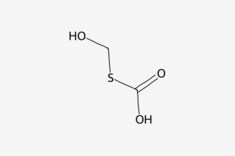 O=C(O)SCO